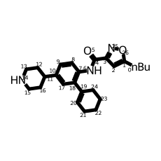 CCCCc1cc(C(=O)Nc2ccc(C3CCNCC3)cc2C2=CCCCC2)no1